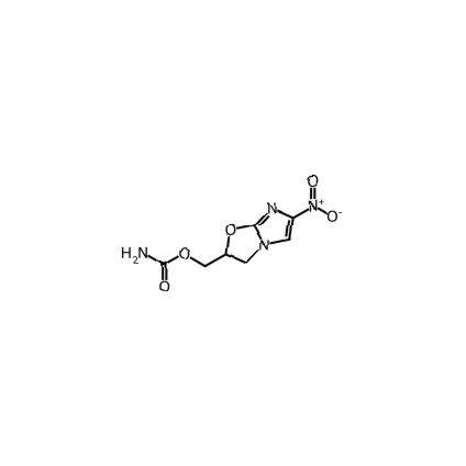 NC(=O)OCC1Cn2cc([N+](=O)[O-])nc2O1